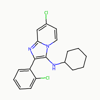 Clc1ccn2c(NC3CCCCC3)c(-c3ccccc3Cl)nc2c1